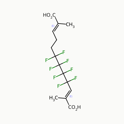 C/C(=C\CCC(F)(F)C(F)(F)C(F)(F)C(F)(F)/C=C(\C)C(=O)O)C(=O)O